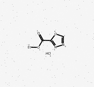 CCOC(=O)c1nnco1.Cl